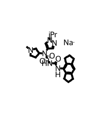 CC(C)n1cc(N(C2CCN(C)C2)S(=O)(=O)NC(=O)Nc2c3c(cc4c2CCC4)CCC3)cn1.[Na]